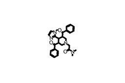 CN(C)C(=O)CN1CC(C(=O)c2ccccc2)C(c2nccn2C)C(C(=O)c2ccccc2)C1